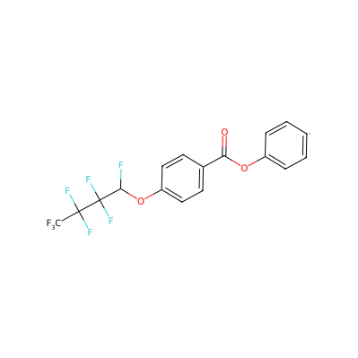 O=C(Oc1cc[c]cc1)c1ccc(OC(F)C(F)(F)C(F)(F)C(F)(F)F)cc1